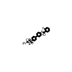 CC(C)[C@@H](C(=O)O)N(C)S(=O)(=O)c1ccc(-c2ccc(NC(=O)c3ccccc3F)cc2)cc1